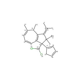 CCC1(C)[C](=[Ge]([CH3])[CH3])C2=C(C=CC=C(C)C2C)[C]1(C1=CC=CC1)[Hf]([Cl])[Cl]